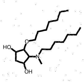 CCCCCCCOC1C(O)CC(O)C1N(C)CCCCCCC